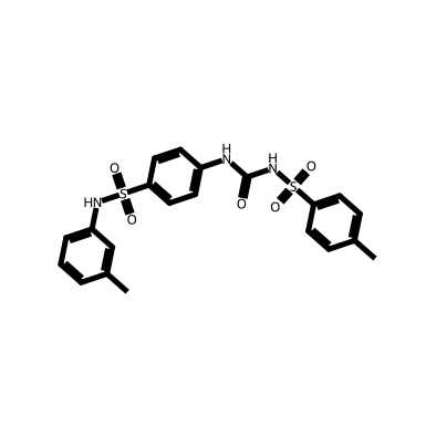 Cc1ccc(S(=O)(=O)NC(=O)Nc2ccc(S(=O)(=O)Nc3cccc(C)c3)cc2)cc1